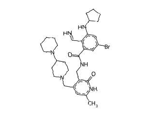 Cc1cc(CN2CCC(N3CCCCC3)CC2)c(CNC(=O)c2cc(Br)cc(NC3CCCC3)c2C=N)c(=O)[nH]1